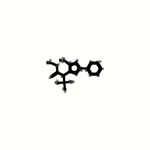 [2H]C([2H])([2H])N(C(=O)OC(C)(C)C)c1cn(-c2cccnc2)nc1C